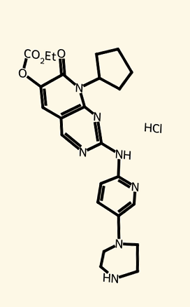 CCOC(=O)Oc1cc2cnc(Nc3ccc(N4CCNCC4)cn3)nc2n(C2CCCC2)c1=O.Cl